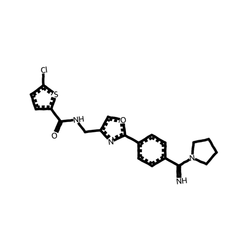 N=C(c1ccc(-c2nc(CNC(=O)c3ccc(Cl)s3)co2)cc1)N1CCCC1